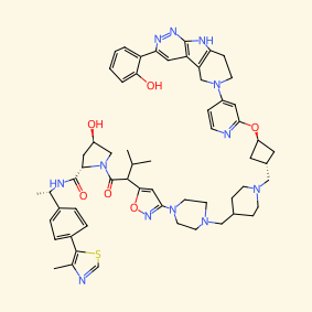 Cc1ncsc1-c1ccc([C@H](C)NC(=O)[C@@H]2C[C@@H](O)CN2C(=O)C(c2cc(N3CCN(CC4CCN(C[C@H]5C[C@H](Oc6cc(N7CCc8[nH]c9nnc(-c%10ccccc%10O)cc9c8C7)ccn6)C5)CC4)CC3)no2)C(C)C)cc1